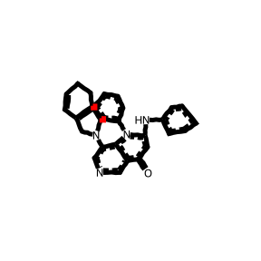 O=c1cc(Nc2ccccc2)n(-c2ccccc2)c2c(N3CC4=C(CCC=C4)C3)cncc12